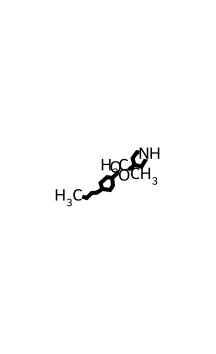 CCCCC1CCC(C(=O)OC(C)(C)C2CCNCC2)CC1